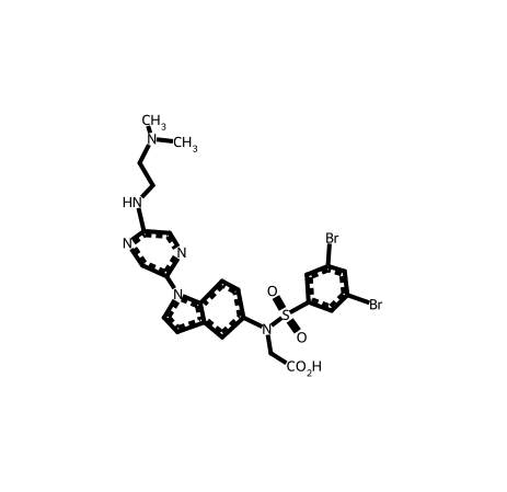 CN(C)CCNc1cnc(-n2ccc3cc(N(CC(=O)O)S(=O)(=O)c4cc(Br)cc(Br)c4)ccc32)cn1